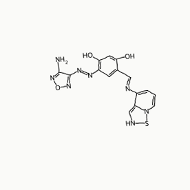 Nc1nonc1N=Nc1cc(C=NC2=CC=CN3SNC=C23)c(O)cc1O